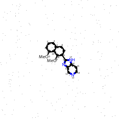 COc1cccc2ccc(-c3nc4cnccc4[nH]3)c(OC)c12